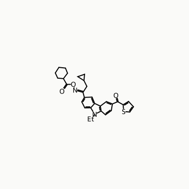 CCn1c2ccc(C(=O)c3cccs3)cc2c2cc(/C(CC3CC3)=N/OC(=O)C3CCCCC3)ccc21